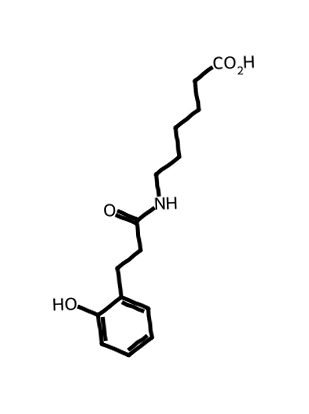 O=C(O)CCCCCNC(=O)CCc1ccccc1O